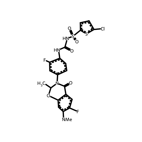 CNc1cc2c(cc1F)C(=O)N(c1ccc(NC(=O)NS(=O)(=O)c3ccc(Cl)s3)c(F)c1)C(C)O2